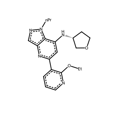 CCCn1ncc2nc(-c3cccnc3OCC)cc(N[C@@H]3CCOC3)c21